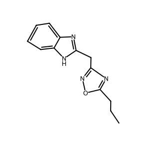 CCCc1nc(Cc2nc3ccccc3[nH]2)no1